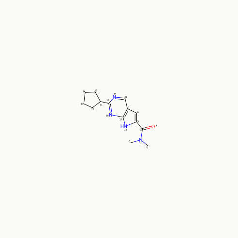 CN(C)C(=O)c1cc2cnc(C3CCCC3)nc2[nH]1